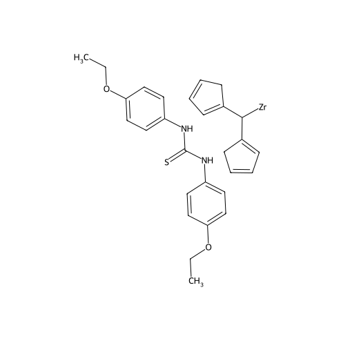 CCOc1ccc(NC(=S)Nc2ccc(OCC)cc2)cc1.[Zr][CH](C1=CC=CC1)C1=CC=CC1